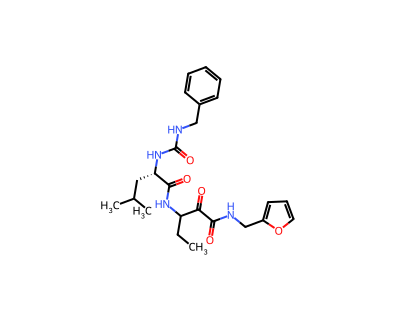 CCC(NC(=O)[C@H](CC(C)C)NC(=O)NCc1ccccc1)C(=O)C(=O)NCc1ccco1